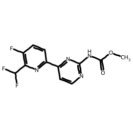 COC(=O)Nc1nccc(-c2ccc(F)c(C(F)F)n2)n1